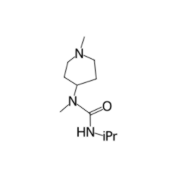 CC(C)NC(=O)N(C)C1CCN(C)CC1